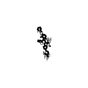 CCOC(=O)C(Cc1ccc(-c2ccc(C(F)(F)F)cn2)cc1)c1[nH]c2ccc(OCc3ccccn3)c(C)c2c1C(=O)CC(C)(C)C